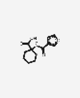 O=C(NC1(C(=O)O)CCCCC1)c1ccoc1